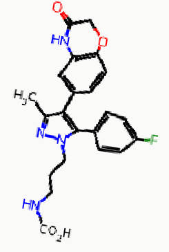 Cc1nn(CCCNC(=O)O)c(-c2ccc(F)cc2)c1-c1ccc2c(c1)NC(=O)CO2